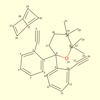 C#Cc1ccccc1C1(c2ccccc2C#C)CC[Si](C)(C)[Si](C)(C)O1.c1cc2ccc1-2